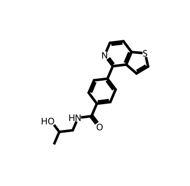 CC(O)CNC(=O)c1ccc(-c2nccc3sccc23)cc1